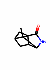 CC1(C)C2CC3C(=O)NC1C3C2